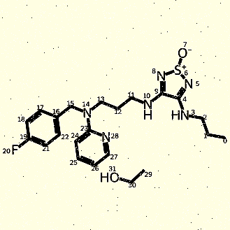 CCCNc1n[s+]([O-])nc1NCCCN(Cc1ccc(F)cc1)c1ccccn1.CCO